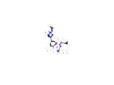 CC1CN(C(=O)C2CC2)c2cc(-c3cnn(C4CC4)c3)ccc2N1